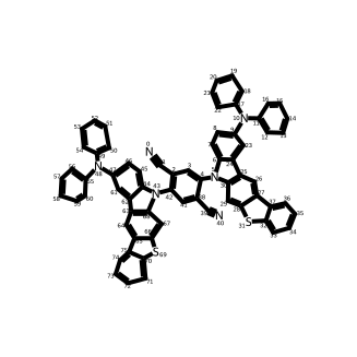 N#Cc1cc(-n2c3ccc(N(c4ccccc4)c4ccccc4)cc3c3cc4c(cc32)sc2ccccc24)c(C#N)cc1-n1c2ccc(N(c3ccccc3)c3ccccc3)cc2c2cc3c(cc21)sc1ccccc13